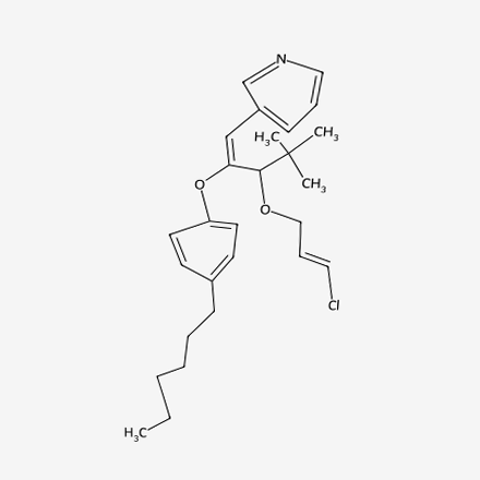 CCCCCCc1ccc(OC(=Cc2cccnc2)C(OCC=CCl)C(C)(C)C)cc1